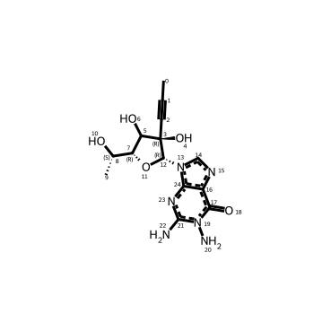 CC#C[C@@]1(O)C(O)[C@@H]([C@H](C)O)O[C@H]1n1cnc2c(=O)n(N)c(N)nc21